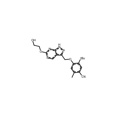 Cc1cc(OCc2n[nH]c3nc(OCCO)ncc23)c(C(C)(C)C)cc1C#N